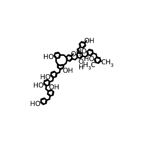 Cc1cc(C)c(O)c(Cc2ccc(O)c(Cc3cc(Cc4ccc(O)cc4)cc(Cc4cc5c(cc4O)Cc4ccc(O)c(c4)Cc4cc(Cc6ccc(O)c(Cc7ccc(O)c(Cc8cc(Cc9ccc(O)cc9)ccc8O)c7)c6)c(O)c(c4)C5)c3O)c2)c1